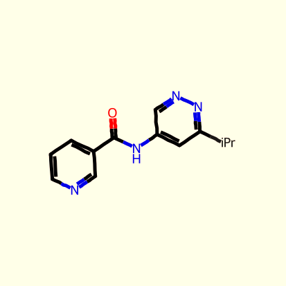 CC(C)c1cc(NC(=O)c2cccnc2)cnn1